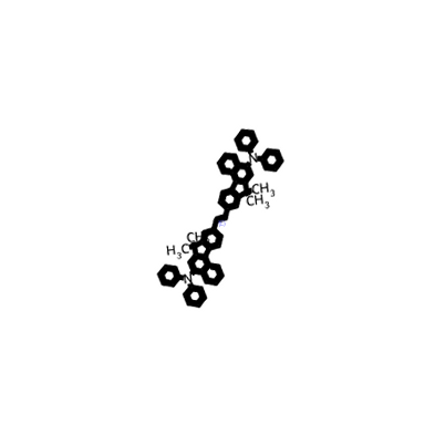 CC1(C)c2cc(/C=C/c3ccc4c(c3)C(C)(C)c3cc(N(c5ccccc5)c5ccccc5)c5ccccc5c3-4)ccc2-c2c1cc(N(c1ccccc1)c1ccccc1)c1ccccc21